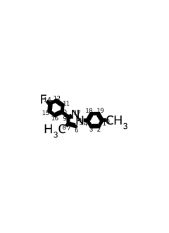 Cc1ccc(-n2cc(C)c(-c3ccc(F)cc3)n2)cc1